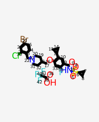 O=C(NS(=O)(=O)C1CC1)c1cc(C2CC2)c(OCC2CCN(Cc3ccc(Br)cc3Cl)CC2)cc1F.O=C(O)C(F)(F)F